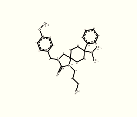 COc1ccc(CN2CC3(CCC(c4ccccc4)(N(C)C)CC3)N(CCCO)C2=O)cc1